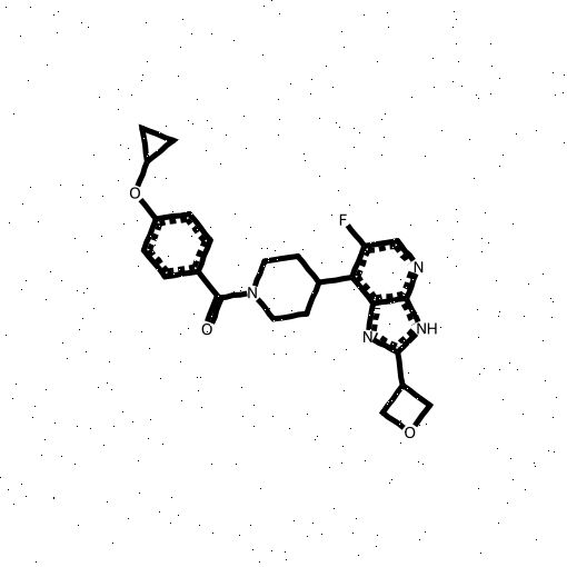 O=C(c1ccc(OC2CC2)cc1)N1CCC(c2c(F)cnc3[nH]c(C4COC4)nc23)CC1